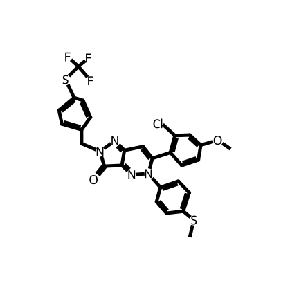 COc1ccc(-c2cc3nn(Cc4ccc(SC(F)(F)F)cc4)c(=O)c-3nn2-c2ccc(SC)cc2)c(Cl)c1